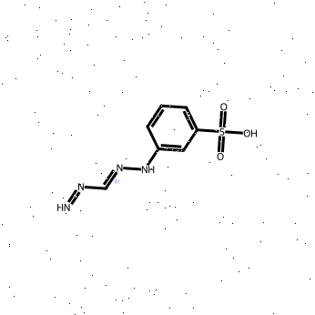 N=N/C=N/Nc1cccc(S(=O)(=O)O)c1